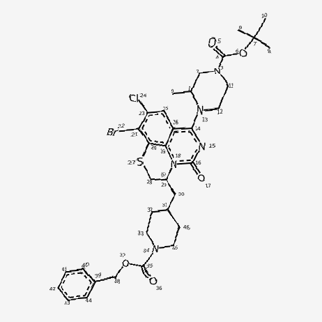 CC1CN(C(=O)OC(C)(C)C)CCN1c1nc(=O)n2c3c(c(Br)c(Cl)cc13)SC[C@@H]2CC1CCN(C(=O)OCc2ccccc2)CC1